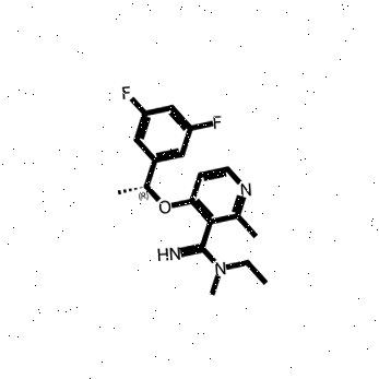 CCN(C)C(=N)c1c(O[C@H](C)c2cc(F)cc(F)c2)ccnc1C